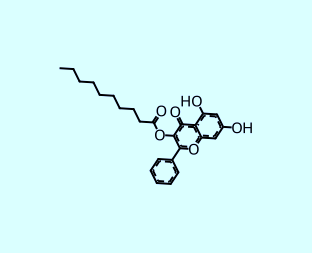 CCCCCCCCCC(=O)Oc1c(-c2ccccc2)oc2cc(O)cc(O)c2c1=O